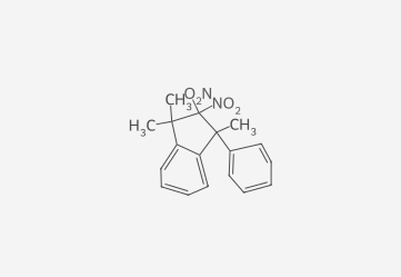 CC1(C)c2ccccc2C(C)(c2ccccc2)C1([N+](=O)[O-])[N+](=O)[O-]